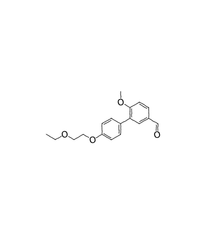 CCOCCOc1ccc(-c2cc(C=O)ccc2OC)cc1